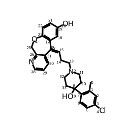 Cc1cc(Cl)ccc1C1(O)CCN(CC/C=C2/c3cc(O)ccc3OCc3ncccc32)CC1